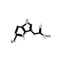 COC(=O)Cc1c[nH]c2ccc(Br)nc12